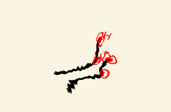 CCCCCC=CCC=CC=CC=CC1OC1CCCC(=O)O.CCCCCC=CCC=CC=CC=C[C@@H]1O[C@H]1CCCC(=O)O